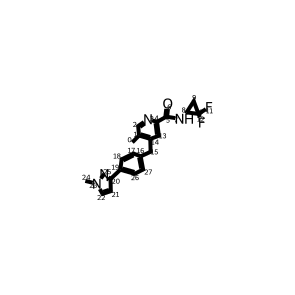 Cc1cnc(C(=O)NC2CC2(F)F)cc1Cc1ccc(-c2ccn(C)n2)cc1